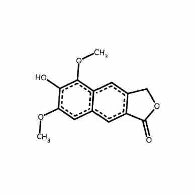 COc1cc2cc3c(cc2c(OC)c1O)COC3=O